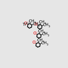 Cc1cccc([O-])c1C.Cc1cccc([O-])c1C.Cc1cccc([O-])c1C.Cc1cccc([O-])c1C.[Ti+4]